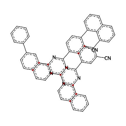 N#Cc1cc(-c2nc(-c3ccccc3)nc(-c3ccccc3)n2)ccc1-c1cccc2cccc(-c3ccc(-c4nc(-c5ccccc5)nc(-c5cccc(-c6ccccc6)c5)n4)cc3C#N)c12